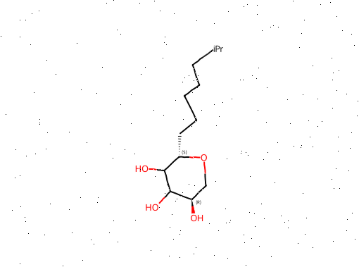 CC(C)CCCCC[C@@H]1OC[C@@H](O)C(O)C1O